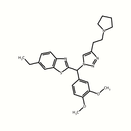 CCc1ccc2nc(C(c3ccc(OC)c(OC)c3)n3cc(CCN4CCCC4)nn3)sc2c1